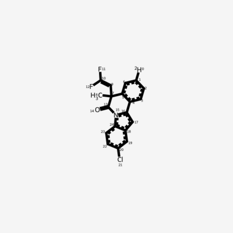 [2H]c1ccc2c(c1)C(C)(C=C(F)F)C(=O)n1c-2cc2cc(Cl)ccc21